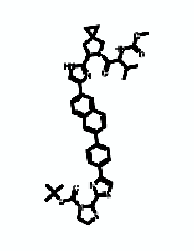 COC(=O)NC(C(=O)N1CC2(CC2)CC1c1nc(-c2ccc3cc(-c4ccc(-c5cnc(C6SCCN6C(=O)OC(C)(C)C)[nH]5)cc4)ccc3c2)c[nH]1)C(C)C